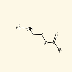 CCC(=O)OCCNS